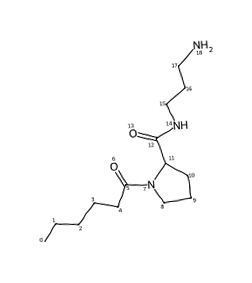 CCCCCC(=O)N1CCCC1C(=O)NCCCN